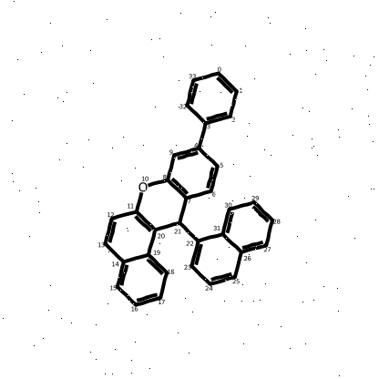 c1ccc(-c2ccc3c(c2)Oc2ccc4ccccc4c2C3c2cccc3ccccc23)cc1